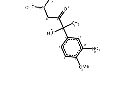 COc1ccc(C(C)(C)C(=O)CN(C=O)C=O)cc1[N+](=O)[O-]